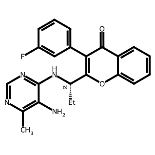 CC[C@H](Nc1ncnc(C)c1N)c1oc2ccccc2c(=O)c1-c1cccc(F)c1